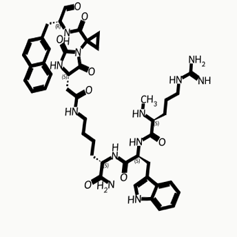 CN[C@@H](CCCNC(=N)N)C(=O)N[C@@H](Cc1c[nH]c2ccccc12)C(=O)N[C@@H](CCCCNC(=O)C[C@@H]1NC(=O)N(C2(C(=O)N[C@@H](C=O)Cc3ccc4ccccc4c3)CC2)C1=O)C(N)=O